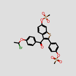 CC(Br)Oc1ccc(C(=O)c2c(-c3ccc(OS(C)(=O)=O)cc3)sc3cc(OS(C)(=O)=O)ccc23)cc1